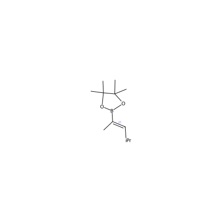 C/C(=C\C(C)C)B1OC(C)(C)C(C)(C)O1